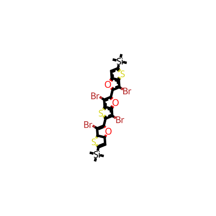 C[Si](C)(C)C1=CC2OC(c3sc4c(Br)c(-c5oc6cc([Si](C)(C)C)sc6c5Br)oc4c3Br)=C(Br)C2S1